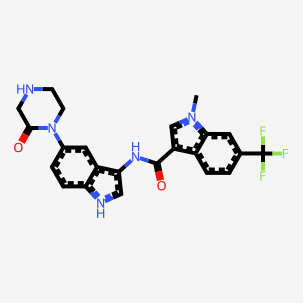 Cn1cc(C(=O)Nc2c[nH]c3ccc(N4CCNCC4=O)cc23)c2ccc(C(F)(F)F)cc21